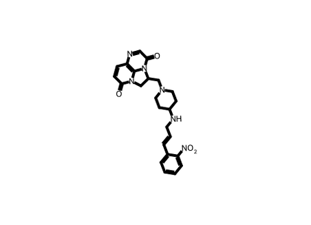 O=c1ccc2ncc(=O)n3c2n1CC3CN1CCC(NCC=Cc2ccccc2[N+](=O)[O-])CC1